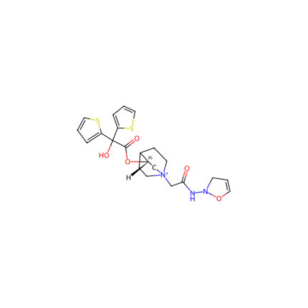 O=C(C[N+]12CCC(CC1)[C@@H](OC(=O)C(O)(c1cccs1)c1cccs1)C2)NN1CC=CO1